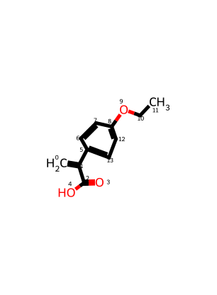 C=C(C(=O)O)c1ccc(OCC)cc1